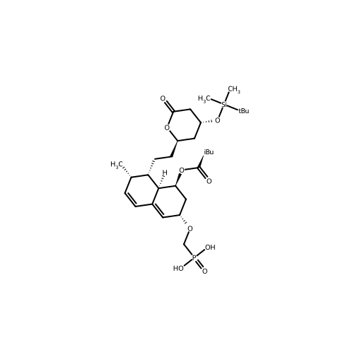 CC[C@H](C)C(=O)O[C@H]1C[C@H](OCP(=O)(O)O)C=C2C=C[C@H](C)[C@H](CC[C@@H]3C[C@@H](O[Si](C)(C)C(C)(C)C)CC(=O)O3)[C@H]21